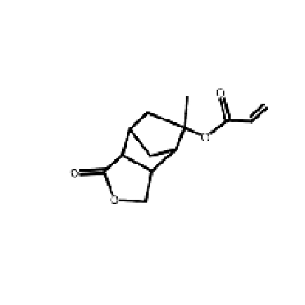 C=CC(=O)OC1(C)CC2CC1C1COC(=O)C21